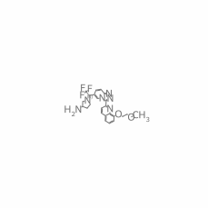 COCCOc1cccc2ccc(-c3nnc4ccc([C@@H](N5CCC(N)C5)C(F)(F)F)cn34)nc12